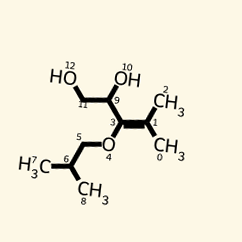 CC(C)=C(OCC(C)C)C(O)CO